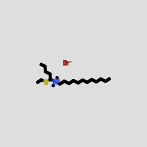 CCCCCCCCCCCC[N+](C)(C)C(CCCC)SCC.[Br-]